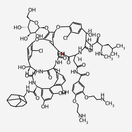 CNCCOc1ccc(C(=O)NC(=O)C[C@@H]2NC(=O)[C@H](NC(=O)[C@@H](CC(C)C)NC)[C@H](O)c3ccc(c(Cl)c3)Oc3cc4cc(c3O[C@@H]3O[C@H](CO)[C@@H](O)[C@H](O)[C@H]3O)Oc3ccc(cc3Cl)[C@@H](O)[C@@H]3NC(=O)[C@H](NC(=O)[C@@H]4NC2=O)c2ccc(O)c(c2)-c2c(O)cc(O)cc2[C@@H](C(=O)NC2C4CC5CC(C4)CC2C5)NC3=O)cc1OCCNC